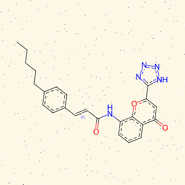 CCCCCc1ccc(/C=C/C(=O)Nc2cccc3c(=O)cc(-c4nnn[nH]4)oc23)cc1